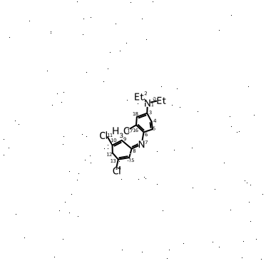 CCN(CC)c1ccc(N=C2C=C(Cl)CC(Cl)=C2)c(C)c1